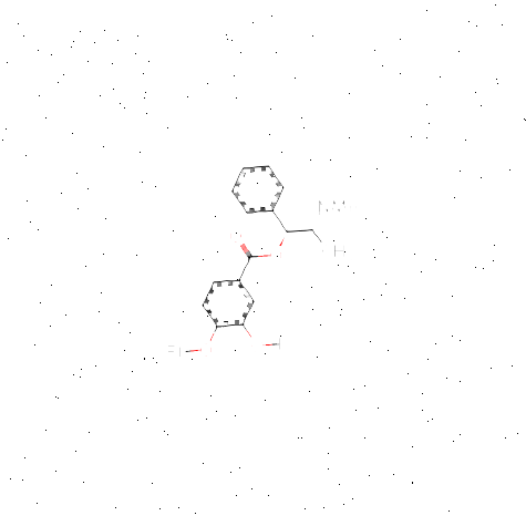 CCOc1ccc(C(=O)O[C@@H](c2ccccc2)[C@@H](C)NC)cc1OCC